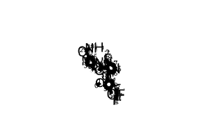 COc1cc(OC(F)(F)F)ccc1Oc1cncc(F)c1C(=O)Nc1cc(C(N)=O)ncc1C